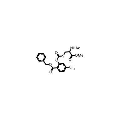 COC(=O)C(CSC(=O)Oc1cc(C(F)(F)F)ccc1C(=O)OCc1ccccc1)NC(C)=O